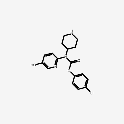 O=C(Oc1ccc(Cl)cc1)N(c1ccc(O)cn1)C1CCNCC1